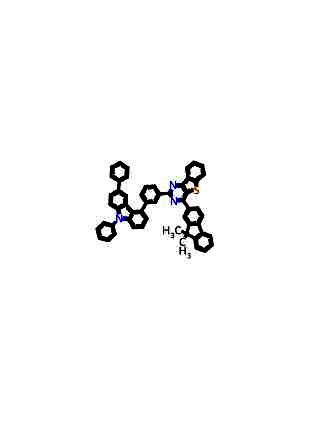 CC1(C)c2ccccc2-c2ccc(-c3nc(-c4cccc(-c5cccc6c5c5cc(-c7ccccc7)ccc5n6-c5ccccc5)c4)nc4c3sc3ccccc34)cc21